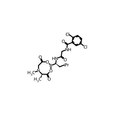 CC(C)C[C@H](NC(=O)CNC(=O)c1cc(Cl)ccc1Cl)B1OC(=O)CN(C)[C@H](C)C(=O)O1